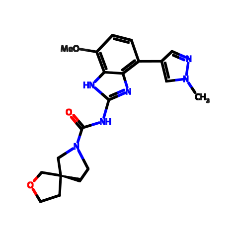 COc1ccc(-c2cnn(C)c2)c2nc(NC(=O)N3CC[C@]4(CCOC4)C3)[nH]c12